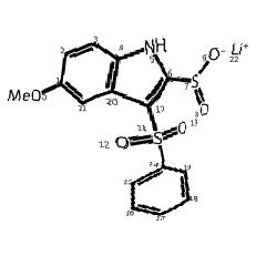 COc1ccc2[nH]c(S(=O)[O-])c(S(=O)(=O)c3ccccc3)c2c1.[Li+]